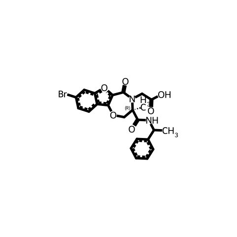 CC(NC(=O)[C@@]1(C)COc2c(oc3cc(Br)ccc23)C(=O)N1CC(=O)O)c1ccccc1